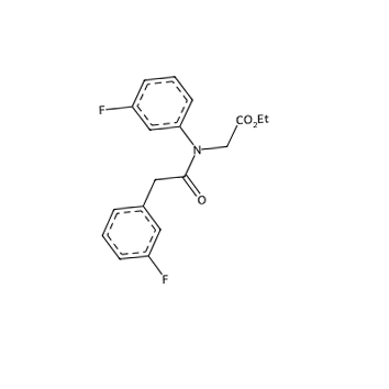 CCOC(=O)CN(C(=O)Cc1cccc(F)c1)c1cccc(F)c1